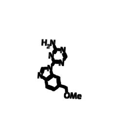 COCc1ccc2ncn(-c3ncnc(N)n3)c2c1